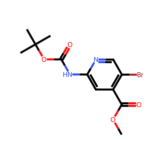 COC(=O)c1cc(NC(=O)OC(C)(C)C)ncc1Br